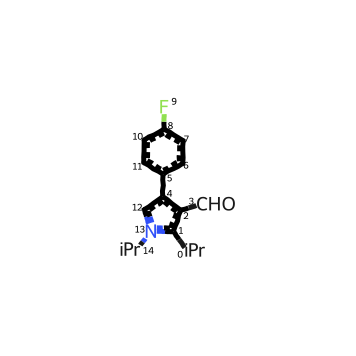 CC(C)c1c(C=O)c(-c2ccc(F)cc2)cn1C(C)C